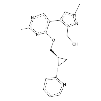 Cc1ncc(-c2cn(C)nc2CO)c(OC[C@H]2C[C@@H]2c2ccccn2)n1